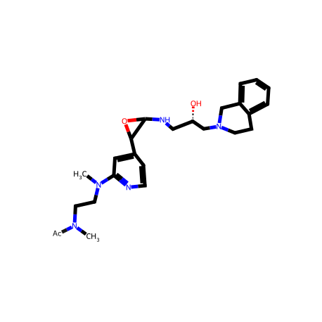 CC(=O)N(C)CCN(C)c1cc(C2OC2NC[C@H](O)CN2CCc3ccccc3C2)ccn1